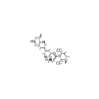 C[C@@H](Oc1cc(-c2cnc3c(c2)CNCC3F)cnc1N)c1c(Cl)ccc(F)c1Cl